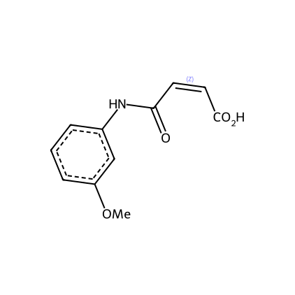 COc1cccc(NC(=O)/C=C\C(=O)O)c1